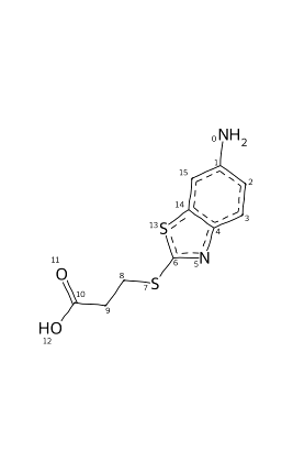 Nc1ccc2nc(SCCC(=O)O)sc2c1